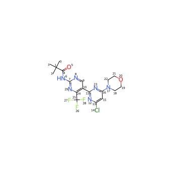 CC(C)(C)C(=O)Nc1ncc(-c2nc(Cl)cc(N3CCOCC3)n2)c(C(F)(F)F)n1